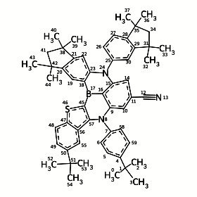 CC(C)(C)c1ccc(N2c3cc(C#N)cc4c3B(c3cc5c(cc3N4c3ccc4c(c3)C(C)(C)CC4(C)C)C(C)(C)CC5(C)C)c3sc4ccc(C(C)(C)C)cc4c32)cc1